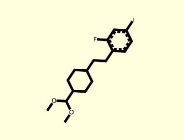 COC(OC)C1CCC(CCc2ccc(I)cc2F)CC1